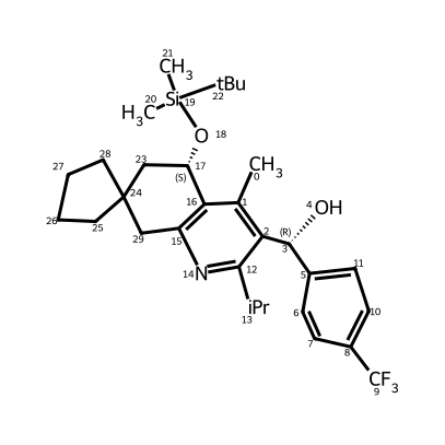 Cc1c([C@H](O)c2ccc(C(F)(F)F)cc2)c(C(C)C)nc2c1[C@@H](O[Si](C)(C)C(C)(C)C)CC1(CCCC1)C2